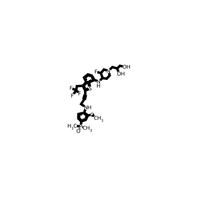 COc1cc(P(C)(C)=O)ccc1NCC#Cc1sc2c(NC3CCN(CC(O)CO)CC3F)cccc2c1CC(F)(F)F